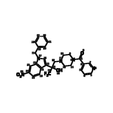 O=C(c1cccnc1)N1CCN(CC(O)(c2cn(Cc3ccccc3)c3cc([N+](=O)[O-])ccc23)C(F)(F)F)CC1